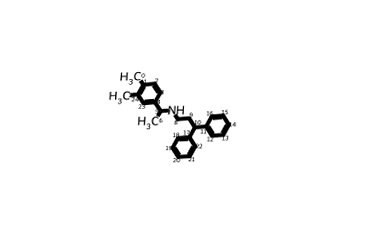 Cc1ccc(C(C)NCCC(c2ccccc2)c2ccccc2)cc1C